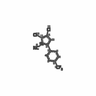 N#Cn1c(-c2ccc(C(F)(F)F)cc2)cc(Cl)c1Cl